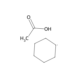 CC(=O)O.[CH]1CCCCC1